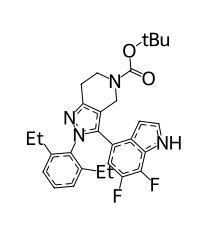 CCc1cccc(CC)c1-n1nc2c(c1-c1cc(F)c(F)c3[nH]ccc13)CN(C(=O)OC(C)(C)C)CC2